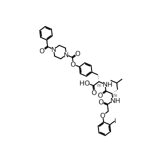 CC(C)C[C@H](NC(=O)COc1ccccc1I)C(=O)N[C@@H](Cc1ccc(OC(=O)N2CCN(C(=O)c3ccccc3)CC2)cc1)C(=O)O